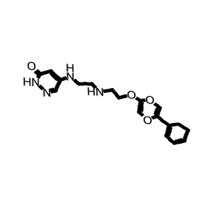 O=c1cc(NCCNCCOC2=COC(C3=CC=CCC3)=CO2)cn[nH]1